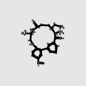 COc1ccc2c(c1)-c1cccc(c1)C(=O)N(C)[C@H](CN)CCC(=O)N[C@H](C)CO2